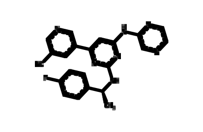 C[C@H](Nc1nc(Nc2cnccn2)cc(-c2cncc(C#N)c2)n1)c1ccc(F)cc1